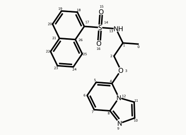 CC(COc1cccc2nccn12)NS(=O)(=O)c1cccc2ccccc12